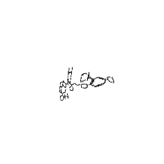 O=C(CCCOc1ccc(Cl)cc1Cl)NC1C2CC3CC1CC(O)(C3)C2